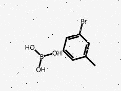 Cc1cccc(Br)c1.OB(O)O